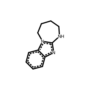 c1ccc2c(c1)nc1n2CCCCN1